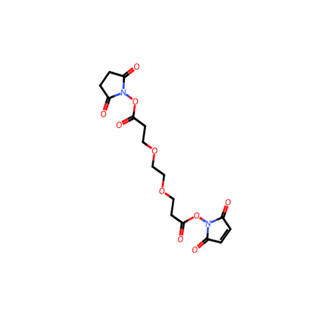 O=C(CCOCCOCCC(=O)ON1C(=O)CCC1=O)ON1C(=O)C=CC1=O